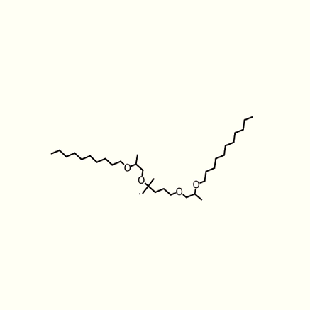 [CH2]C(C)(CCCOCC(C)OCCCCCCCCCCC)OCC(C)OCCCCCCCCCC